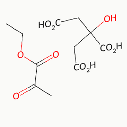 CCOC(=O)C(C)=O.O=C(O)CC(O)(CC(=O)O)C(=O)O